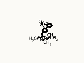 CCCC1=C(Cc2ccc(-c3ccccc3-c3noc(=O)[nH]3)cc2)CN(C=C(C)C)C(C)=N1